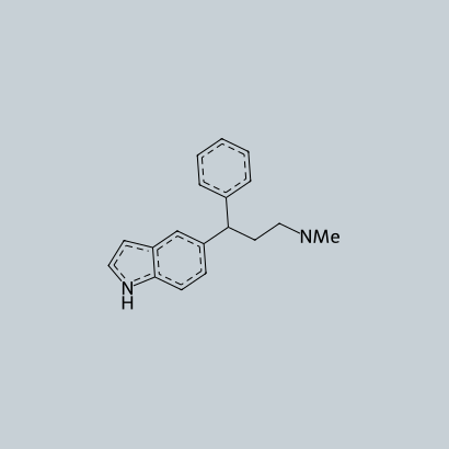 CNCCC(c1ccccc1)c1ccc2[nH]ccc2c1